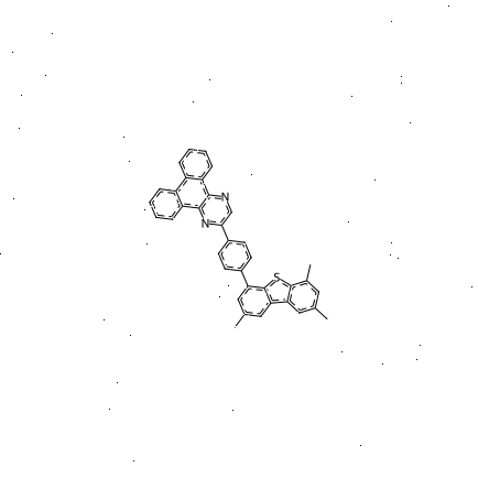 Cc1cc(C)c2sc3c(-c4ccc(-c5cnc6c7ccccc7c7ccccc7c6n5)cc4)cc(C)cc3c2c1